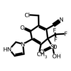 CC1=C(N2C=CNC2)C(=O)C(CCl)=C(C#N)C1(C(F)(F)F)S(=O)(=O)O